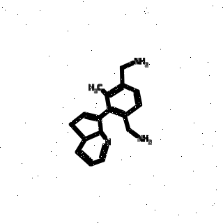 Cc1c(CN)ccc(CN)c1C1=CCC2C=CC=NC12